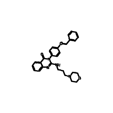 O=c1c2ccccc2nc(NCCCN2CCOCC2)n1-c1ccc(OCc2ccccc2)cc1